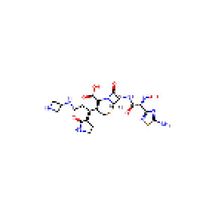 Nc1nc(C(=NO)C(=O)N[C@@H]2C(=O)N3C(C(=O)O)=C(C(CCNC4CNC4)=C4CCNC4=O)CS[C@H]23)ns1